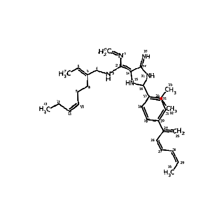 C=N/C(NC/C(=C/C)CC/C=C\CC)=C1/NC(C(/C=C\C(=C/CC)C(=C)/C=C\C=C/C)=C/C)NC1=N